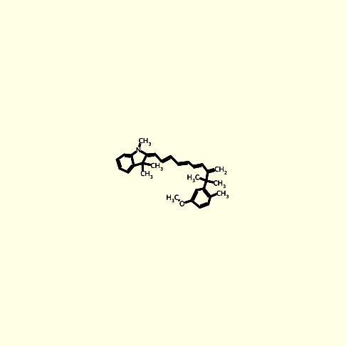 C=C(/C=C/C=C/C=C/C=C1/N(C)c2ccccc2C1(C)C)C(C)(C)c1cc(OC)ccc1C